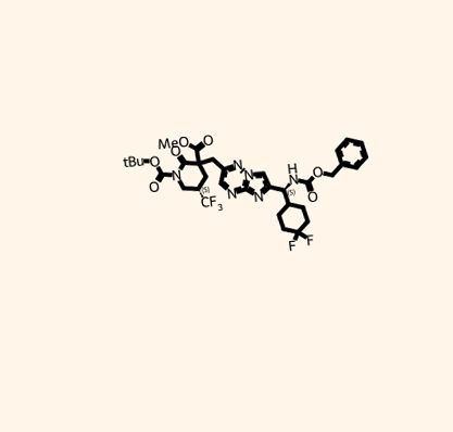 COC(=O)C1(Cc2cnc3nc([C@@H](NC(=O)OCc4ccccc4)C4CCC(F)(F)CC4)cn3n2)C[C@H](C(F)(F)F)CN(C(=O)OC(C)(C)C)C1=O